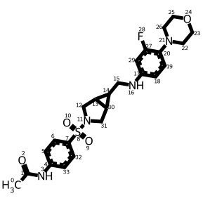 CC(=O)Nc1ccc(S(=O)(=O)N2CC3C(CNc4ccc(N5CCOCC5)c(F)c4)C3C2)cc1